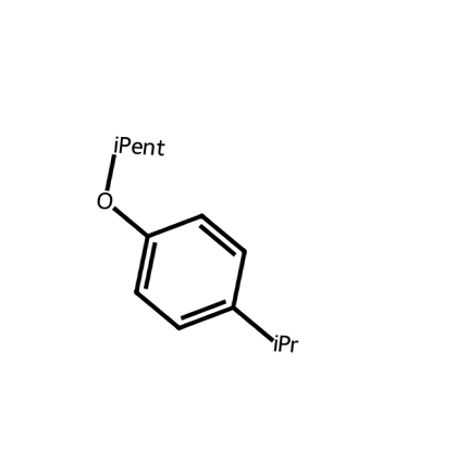 CCCC(C)Oc1ccc(C(C)C)cc1